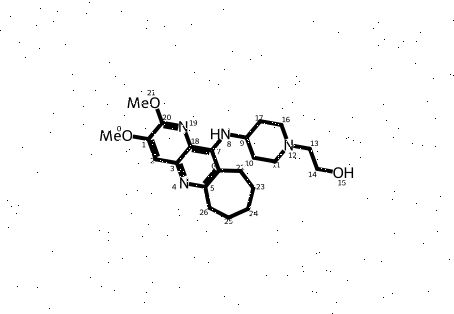 COc1cc2nc3c(c(NC4CCN(CCO)CC4)c2nc1OC)CCCCC3